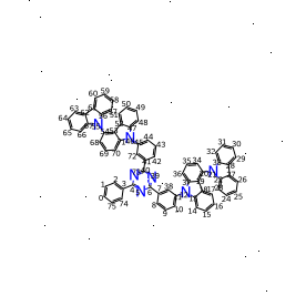 c1ccc(-c2nc(-c3cccc(-n4c5ccccc5c5c(-n6c7ccccc7c7ccccc76)cccc54)c3)nc(-c3cccc(-n4c5ccccc5c5c(-n6c7ccccc7c7ccccc76)cccc54)c3)n2)cc1